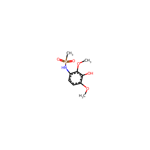 COc1ccc(NS(C)(=O)=O)c(OC)c1O